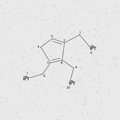 CC(C)CC1=CCC(CC(C)C)=C1CC(C)C